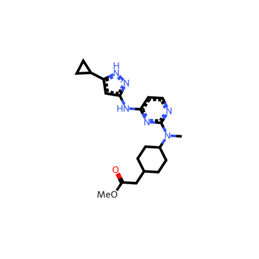 COC(=O)CC1CCC(N(C)c2nccc(Nc3cc(C4CC4)[nH]n3)n2)CC1